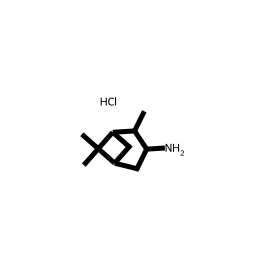 CC1C(N)CC2CC1C2(C)C.Cl